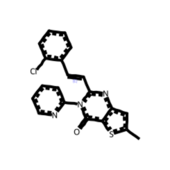 Cc1cc2nc(/C=C/c3ccccc3Cl)n(-c3ccccn3)c(=O)c2s1